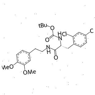 COc1ccc(CCNC(=O)[C@@H](Cc2ccc(Cl)cc2Cl)NC(=O)OC(C)(C)C)cc1OC